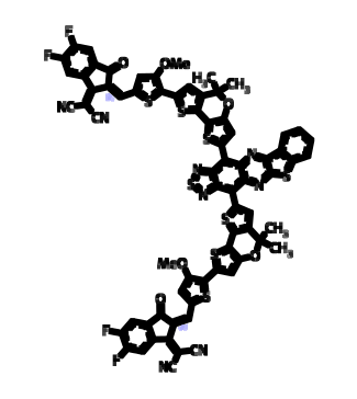 COc1cc(/C=C2\C(=O)c3cc(F)c(F)cc3C2=C(C#N)C#N)sc1-c1cc2c(s1)-c1sc(-c3c4nsnc4c(-c4cc5c(s4)-c4sc(-c6sc(/C=C7\C(=O)c8cc(F)c(F)cc8C7=C(C#N)C#N)cc6OC)cc4C(C)(C)O5)c4nc5c(nc34)sc3ccccc35)cc1C(C)(C)O2